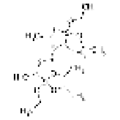 CCO[Si](OCC)(OCC)C(C)SSSC(C)[Si](OCC)(OCC)OCC